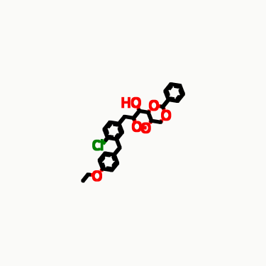 CCOc1ccc(Cc2cc(CC3OOC4COC(c5ccccc5)OC4C3O)ccc2Cl)cc1